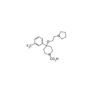 O=C(O)N1CCC(OCCN2CCCC2)(c2cccc(C(F)(F)F)c2)CC1